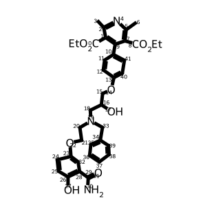 CCOC(=O)c1c(C)nc(C)c(C(=O)OCC)c1-c1ccc(OCC(O)CN(CCOc2ccc(O)c(C(N)=O)c2)Cc2ccccc2)cc1